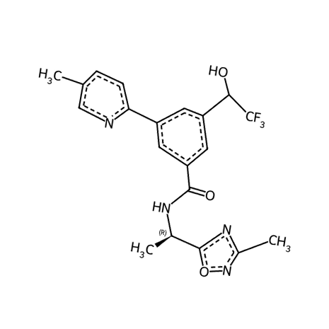 Cc1ccc(-c2cc(C(=O)N[C@H](C)c3nc(C)no3)cc(C(O)C(F)(F)F)c2)nc1